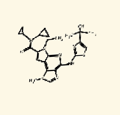 CCn1c(C(=O)N(C2CC2)C2CC2)cc2c3c(ncn3C)c(Nc3nc(C(C)(C)C)cs3)nc21